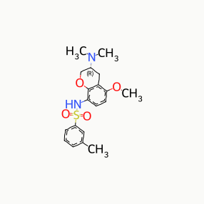 COc1ccc(NS(=O)(=O)c2cccc(C)c2)c2c1C[C@@H](N(C)C)CO2